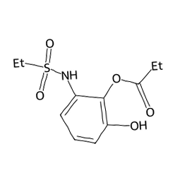 CCC(=O)Oc1c(O)cccc1NS(=O)(=O)CC